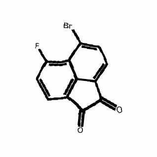 O=C1C(=O)c2ccc(Br)c3c(F)ccc1c23